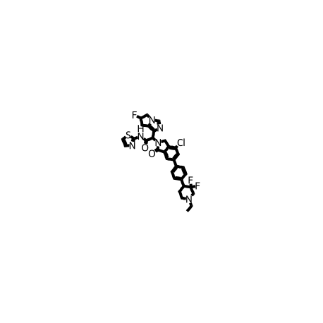 CCN1CCC(c2ccc(-c3cc(Cl)c4c(c3)C(=O)N(C(C(=O)Nc3nccs3)c3ncn5c3CC(F)C5)C4)cc2)C(F)(F)C1